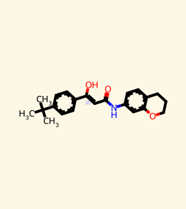 CC(C)(C)c1ccc(/C(O)=C/C(=O)Nc2ccc3c(c2)OCCC3)cc1